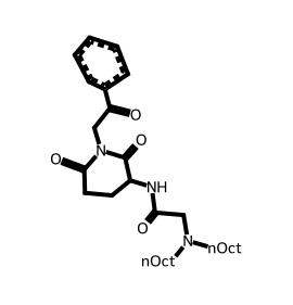 CCCCCCCCN(CCCCCCCC)CC(=O)NC1CCC(=O)N(CC(=O)c2ccccc2)C1=O